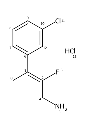 CC(=C(F)CN)c1cccc(Cl)c1.Cl